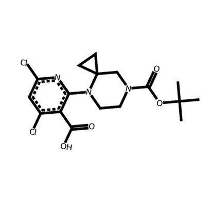 CC(C)(C)OC(=O)N1CCN(c2nc(Cl)cc(Cl)c2C(=O)O)C2(CC2)C1